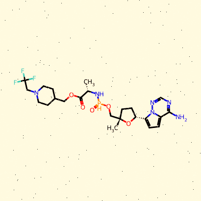 C[C@H](N[PH](=O)OC[C@]1(C)CC[C@H](c2ccc3c(N)ncnn23)O1)C(=O)OCC1CCN(CC(F)(F)F)CC1